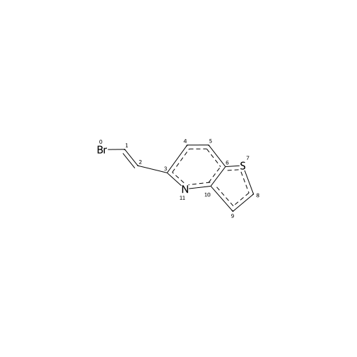 BrC=Cc1ccc2sccc2n1